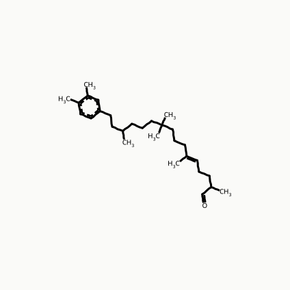 C/C(=C\CCC(C)C=O)CCCC(C)(C)CCCC(C)CCc1ccc(C)c(C)c1